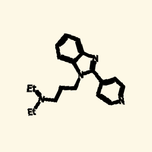 CCN(CC)CCCn1c(-c2ccncc2)nc2ccccc21